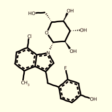 Cc1ccc(Cl)c2c1c(Cc1ccc(O)cc1F)cn2[C@@H]1O[C@H](CO)[C@@H](O)[C@H](O)[C@H]1O